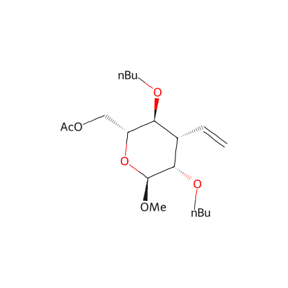 C=C[C@@H]1[C@H](OCCCC)[C@@H](OC)O[C@H](COC(C)=O)[C@H]1OCCCC